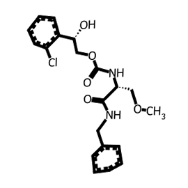 COC[C@@H](NC(=O)OC[C@@H](O)c1ccccc1Cl)C(=O)NCc1ccccc1